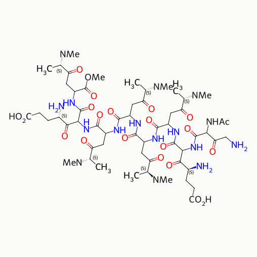 CN[C@@H](C)C(=O)CC(NC(=O)C(CC(=O)[C@H](C)NC)NC(=O)C(CC(=O)[C@H](C)NC)NC(=O)C(NC(=O)C(NC(C)=O)C(=O)CN)C(=O)[C@@H](N)CCC(=O)O)C(=O)NC(CC(=O)[C@H](C)NC)C(=O)NC(C(=O)NC(CC(=O)[C@H](C)NC)C(=O)OC)C(=O)[C@@H](N)CCC(=O)O